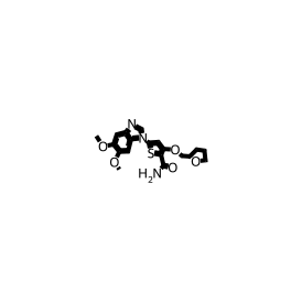 COc1cc2ncn(-c3cc(OCC4CCCO4)c(C(N)=O)s3)c2cc1OC